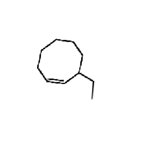 CCC1/C=C\CCCCC1